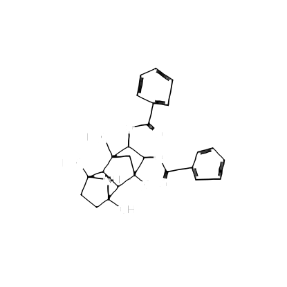 CC12CCC(C)(N1)C1C2C2(C)CC1(C)C(OC(=O)c1ccccc1)C2OC(=O)c1ccccc1